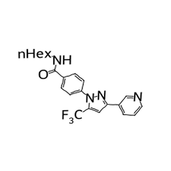 CCCCCCNC(=O)c1ccc(-n2nc(-c3cccnc3)cc2C(F)(F)F)cc1